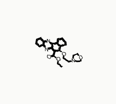 CCOC(=O)c1c(OCCN2CCOCC2)c2ccccc2c2nc3ccccc3nc12